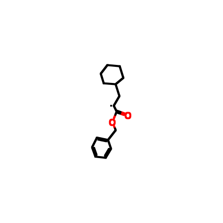 O=C([CH]CC1CCCCC1)OCc1ccccc1